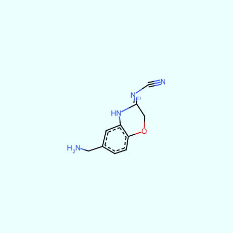 N#C/N=C1\COc2ccc(CN)cc2N1